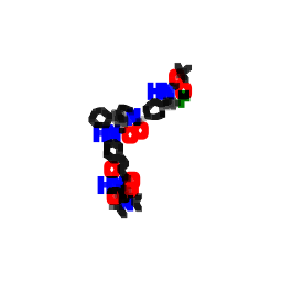 CC(C)N(C(C)C)S(=O)(=O)NC(=O)c1cc2cc(NC(=O)[C@@H]3[C@H](C4CCCCC4)CCN3C(=O)[C@H]3CC[C@H]([C@@H](CF)NC(=O)OC(C)(C)C)CC3)ccc2o1